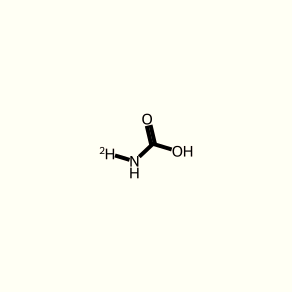 [2H]NC(=O)O